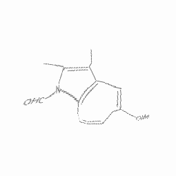 COc1ccc2c(c1)c(C)c(C)n2C=O